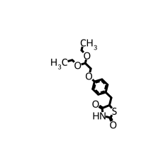 CCOC(COc1ccc(CC2SC(=O)NC2=O)cc1)OCC